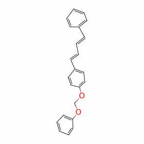 C(C=Cc1ccc(OCOc2ccccc2)cc1)=Cc1ccccc1